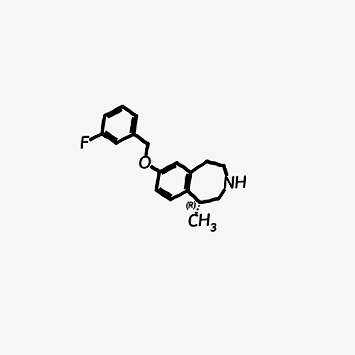 C[C@H]1CNCCc2cc(OCc3cccc(F)c3)ccc21